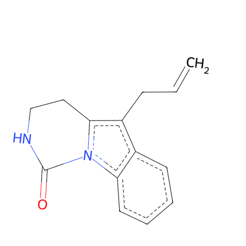 C=CCc1c2n(c3ccccc13)C(=O)NCC2